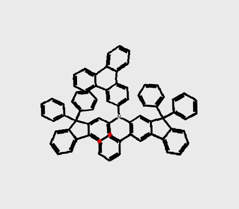 c1ccc(-c2cc3c(cc2N(c2ccc4c(c2)C(c2ccccc2)(c2ccccc2)c2ccccc2-4)c2ccc4c5ccccc5c5ccccc5c4c2)C(c2ccccc2)(c2ccccc2)c2ccccc2-3)cc1